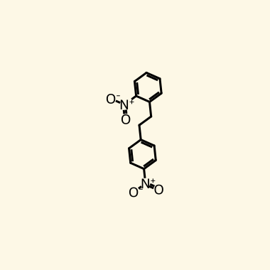 O=[N+]([O-])c1ccc(CCc2ccccc2[N+](=O)[O-])cc1